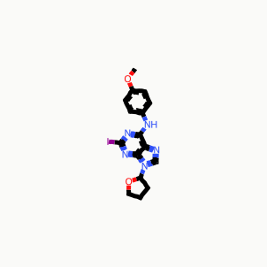 COc1ccc(Nc2nc(I)nc3c2ncn3C2CCCO2)cc1